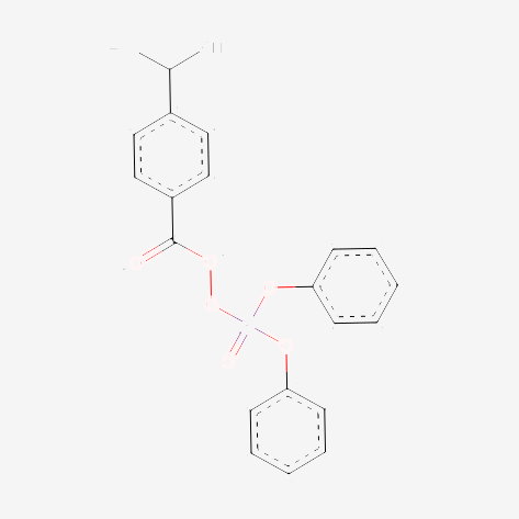 CC(C)c1ccc(C(=O)OOP(=O)(Oc2ccccc2)Oc2ccccc2)cc1